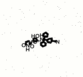 N#Cc1ccc(C(NC[C@@H]2O[C@H](n3ccc(=O)[nH]c3=O)CC2O)(c2ccccc2)c2ccccc2)cc1